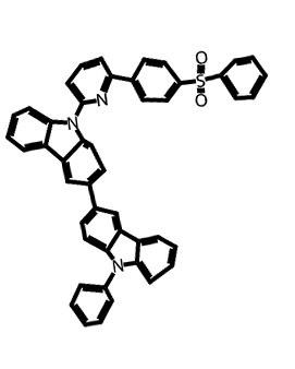 O=S(=O)(c1ccccc1)c1ccc(-c2cccc(-n3c4ccccc4c4cc(-c5ccc6c(c5)c5ccccc5n6-c5ccccc5)ccc43)n2)cc1